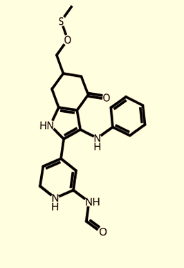 CSOCC1CC(=O)c2c([nH]c(C3=CCNC(NC=O)=C3)c2Nc2ccccc2)C1